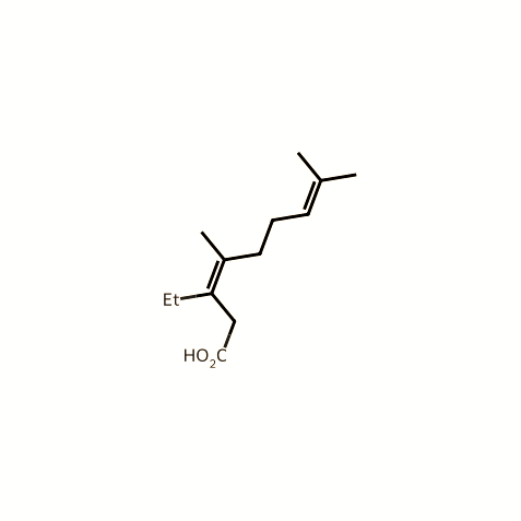 CC/C(CC(=O)O)=C(\C)CCC=C(C)C